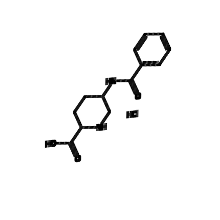 Cl.O=C(NC1CCC(C(=O)O)NC1)c1ccccc1